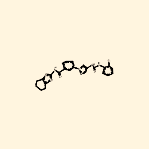 O=C(Nc1cnn(-c2cccc(C(=O)Nc3nc4c(s3)CCCC4)c2)c1)Nc1ccccc1Cl